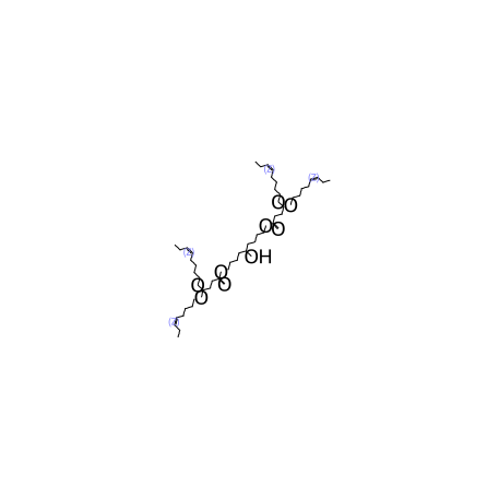 CC/C=C\CCCCOC(CCC(=O)OCCCCC(O)CCCCOC(=O)CCC(OCCCC/C=C\CC)OCCCC/C=C\CC)OCCCC/C=C\CC